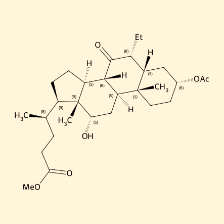 CC[C@H]1C(=O)[C@@H]2[C@H](C[C@H](O)[C@]3(C)[C@@H]([C@H](C)CCC(=O)OC)CC[C@@H]23)[C@@]2(C)CC[C@@H](OC(C)=O)C[C@@H]12